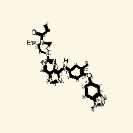 C=CC(=O)N1CCN(c2ncc3ncnc(Nc4ccc(Oc5ccc6c(c5)nnn6C)c(C)c4)c3n2)C[C@@H]1CC